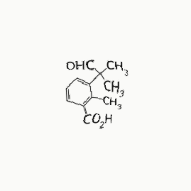 Cc1c(C(=O)O)cccc1C(C)(C)C=O